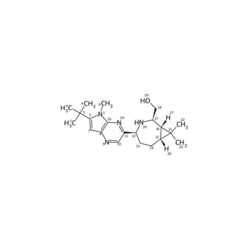 Cn1c(C(C)(C)C)cc2ncc([C@@H]3CC[C@@H]4[C@H]([C@H](CO)N3)C4(C)C)nc21